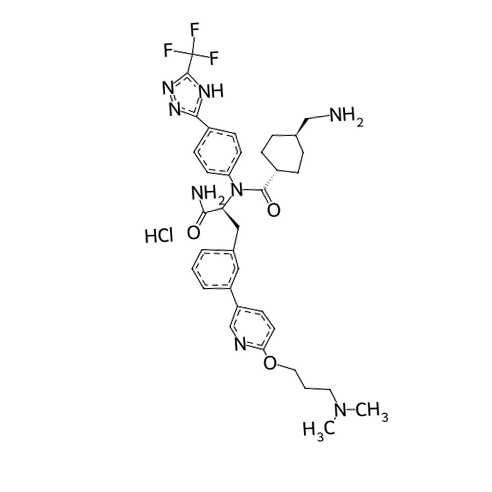 CN(C)CCCOc1ccc(-c2cccc(C[C@@H](C(N)=O)N(c3ccc(-c4nnc(C(F)(F)F)[nH]4)cc3)C(=O)[C@H]3CC[C@H](CN)CC3)c2)cn1.Cl